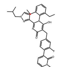 CCc1cccc(CC)c1-n1c(-c2ccn(CC(C)C)n2)nc(=O)c(Cc2ccc(-c3cccn(C)c3=O)c(F)c2)c1O